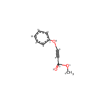 COC(=O)C#COc1ccccc1